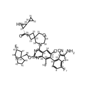 N#Cc1c(N)sc2c(F)ccc(-c3c(Cl)cc4c(N5CCOCC6(CN(C(=O)[C@@H]7N[C@H]7C7CC7)C6)C5)nc(OC[C@@]56CCCN5C[C@H](F)C6)nc4c3F)c12